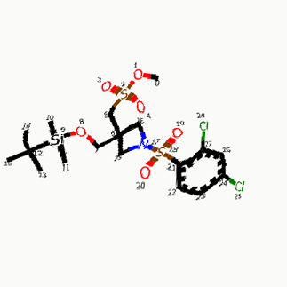 COS(=O)(=O)CC1(CO[Si](C)(C)C(C)(C)C)CN(S(=O)(=O)c2ccc(Cl)cc2Cl)C1